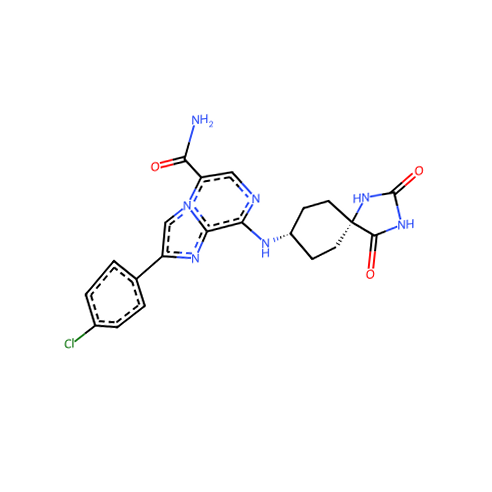 NC(=O)c1cnc(N[C@H]2CC[C@]3(CC2)NC(=O)NC3=O)c2nc(-c3ccc(Cl)cc3)cn12